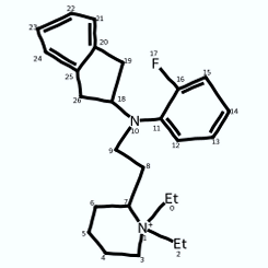 CC[N+]1(CC)CCCCC1CCN(c1ccccc1F)C1Cc2ccccc2C1